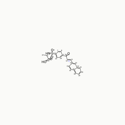 CC(NS(=O)(=O)c1ccc(C(=O)/C=C/c2ccc3ccccc3c2)cc1)C(=O)O